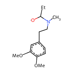 CCC([O])N(C)CCc1ccc(OC)c(OC)c1